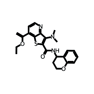 C=C(OCC)c1ccnc2c(N(C)C)c(C(=O)NC3CCOc4ccccc43)sc12